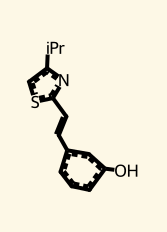 CC(C)c1csc(C=Cc2cccc(O)c2)n1